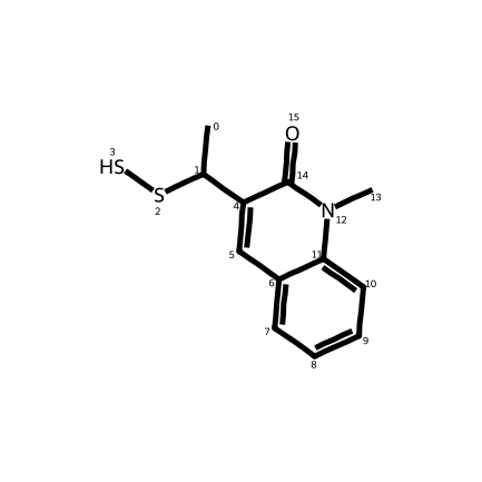 CC(SS)c1cc2ccccc2n(C)c1=O